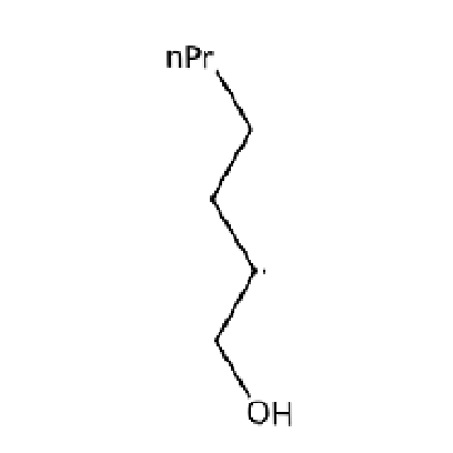 CCCCC[CH]CO